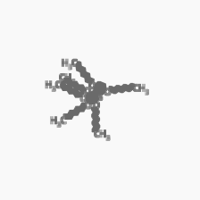 CCCCCCCCOc1c(OCCCCCCCC)c(OCCCCCCCC)c2c(sc3c(OCCCCCCCC)ccc(OCCCCCCCC)c32)c1OCCCCCCCC